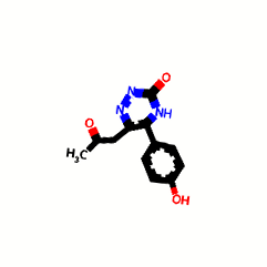 CC(=O)Cc1nnc(=O)[nH]c1-c1ccc(O)cc1